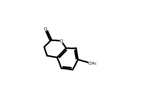 CC(=O)Oc1ccc2c(c1)OC(=O)CC2